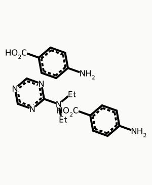 CCN(CC)c1ncncn1.Nc1ccc(C(=O)O)cc1.Nc1ccc(C(=O)O)cc1